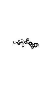 Cc1cc(N2C[C@H](NC(=O)c3ccc(Cl)s3)CC2=O)ccc1N1CCOCCC1=O